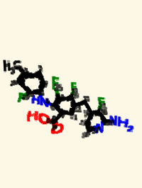 Cc1ccc(Nc2c(C(=O)O)cc(Cc3ccnc(N)c3F)c(F)c2F)c(F)c1